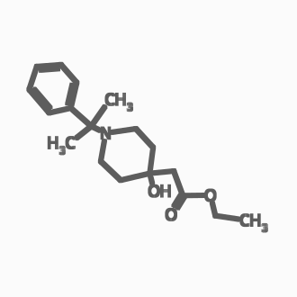 CCOC(=O)CC1(O)CCN(C(C)(C)c2ccccc2)CC1